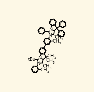 Cc1cc(-c2ccc3c(c2)C(C)(C)C2[C@H](C)N(c4ccccc4C)C(C(C)(C)C)N32)ccc1N1C(c2ccccc2)N2c3ccccc3C(c3ccccc3)(c3ccccc3)C2[C@@H]1C